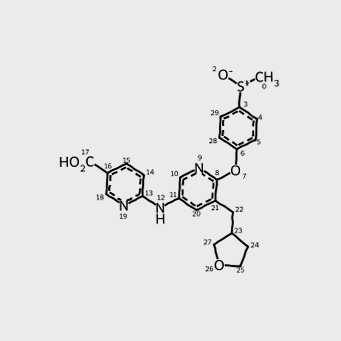 C[S+]([O-])c1ccc(Oc2ncc(Nc3ccc(C(=O)O)cn3)cc2CC2CCOC2)cc1